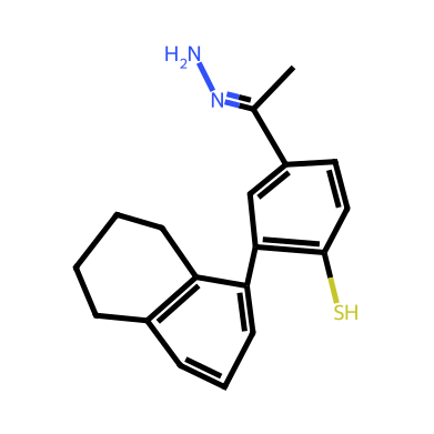 CC(=NN)c1ccc(S)c(-c2cccc3c2CCCC3)c1